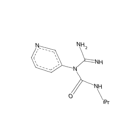 CC(C)NC(=O)N(C(=N)N)c1cccnc1